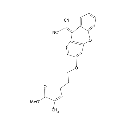 COC(=O)C(C)=CCCCOc1ccc2c(c1)Oc1ccccc1C2=C(C#N)C#N